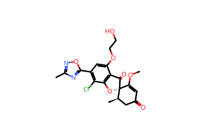 COC1=CC(=O)C[C@@H](C)[C@]12Oc1c(Cl)c(-c3nc(C)no3)cc(OCCO)c1C2=O